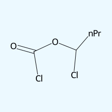 CCCC(Cl)OC(=O)Cl